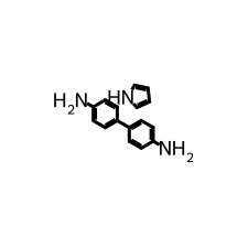 Nc1ccc(-c2ccc(N)cc2)cc1.c1cc[nH]c1